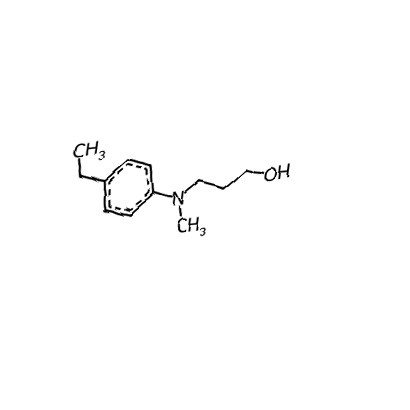 CCc1ccc(N(C)CCCO)cc1